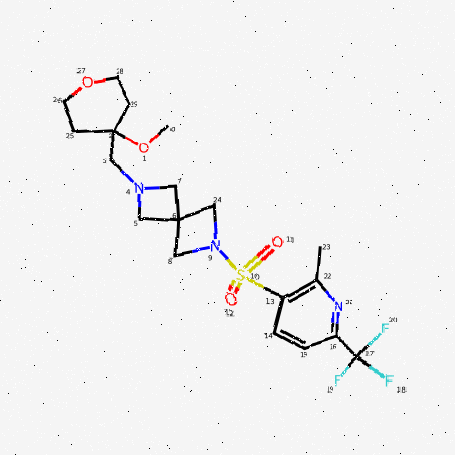 COC1(CN2CC3(C2)CN(S(=O)(=O)c2ccc(C(F)(F)F)nc2C)C3)CCOCC1